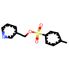 Cc1ccc(S(=O)(=O)OCc2cccnc2)cc1